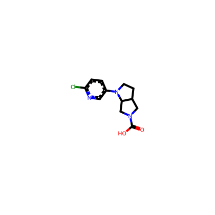 O=C(O)N1CC2CCN(c3ccc(Cl)nc3)C2C1